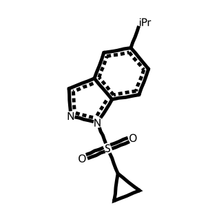 CC(C)c1ccc2c(cnn2S(=O)(=O)C2CC2)c1